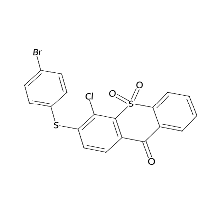 O=C1c2ccccc2S(=O)(=O)c2c1ccc(Sc1ccc(Br)cc1)c2Cl